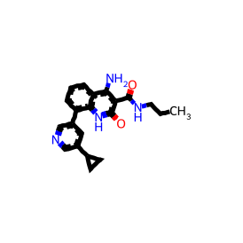 CCCNC(=O)c1c(N)c2cccc(-c3cncc(C4CC4)c3)c2[nH]c1=O